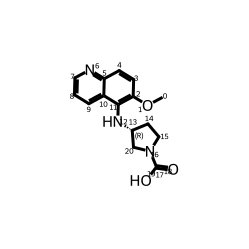 COc1ccc2ncccc2c1N[C@@H]1CCN(C(=O)O)C1